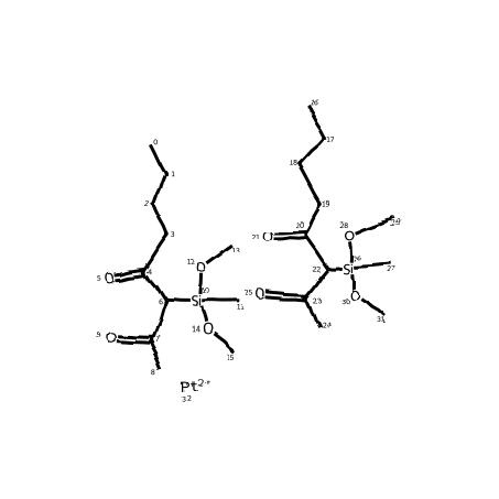 CCCCC(=O)C(C(C)=O)[Si](C)(OC)OC.CCCCC(=O)C(C(C)=O)[Si](C)(OC)OC.[Pt+2]